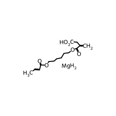 C=C(CC(=O)O)C(=O)OCCCCCCOC(=O)C=CC.[MgH2]